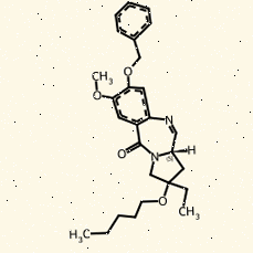 CCCCCOC1(CC)C[C@H]2C=Nc3cc(OCc4ccccc4)c(OC)cc3C(=O)N2C1